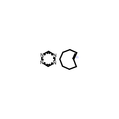 C1=C/CCCCCC/1.c1nncnn1